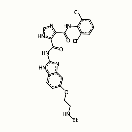 CCNCCOc1ccc2[nH]c(NC(=O)c3[nH]cnc3C(=O)Nc3c(Cl)cccc3Cl)nc2c1